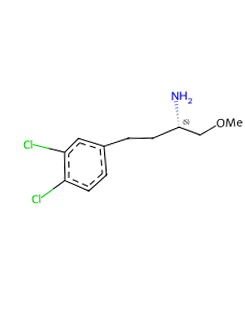 COC[C@@H](N)CCc1ccc(Cl)c(Cl)c1